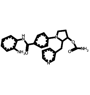 NC(=O)OC1CCN(c2ccc(C(=O)Nc3ccccc3N)cc2)C1Cc1cccnc1